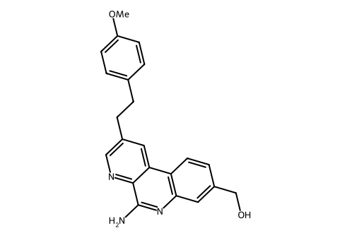 COc1ccc(CCc2cnc3c(N)nc4cc(CO)ccc4c3c2)cc1